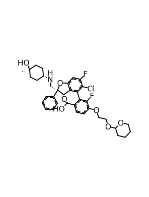 C[C@H]1c2c(cc(F)c(Cl)c2-c2c(C(=O)O)ccc(OCCOC3CCCCO3)c2F)O[C@]1(CN[C@H]1CC[C@](C)(O)CC1)c1ccccc1